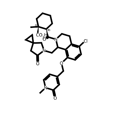 Cn1ccc(COc2ccc(Cl)c3c2C(CN2CC4(CC4)CC2=O)N(C(=O)[C@@H]2CCCC[C@]2(C)C(=O)O)CC3)cc1=O